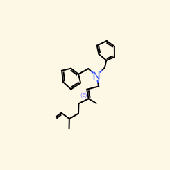 C=CC(C)CC/C(C)=C/CN(Cc1ccccc1)Cc1ccccc1